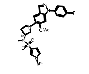 CCCn1ccc(S(=O)(=O)N(C)[C@H]2CCN(c3cc4cnn(-c5ccc(F)cc5)c4cc3OC)C2)c1